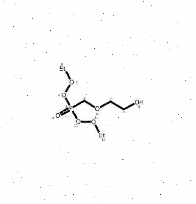 CCOOP(=O)(COCCO)OOCC